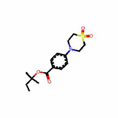 CCC(C)(C)OC(=O)c1ccc(N2CCS(=O)(=O)CC2)cc1